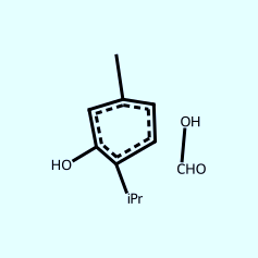 Cc1ccc(C(C)C)c(O)c1.O=CO